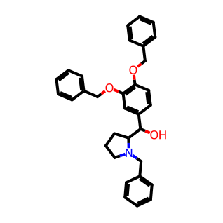 OC(c1ccc(OCc2ccccc2)c(OCc2ccccc2)c1)C1CCCN1Cc1ccccc1